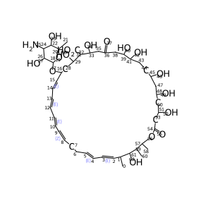 CC1/C=C/C=C/CC\C=C/C=C/C=C/C=C/C(OC2OC(C)C(O)C(N)C2O)CC(O)C(C(=O)O)C(O)CC(=O)CC(O)C(O)CCC(O)CC(O)CC(O)CC(=O)OC(C)C(C)C1O